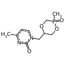 Cc1ccn(CC2COP(C)(=O)CO2)c(=O)n1